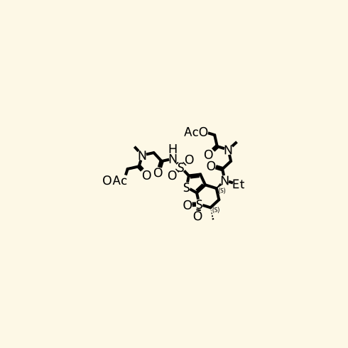 CCN(C(=O)CN(C)C(=O)COC(C)=O)[C@H]1C[C@H](C)S(=O)(=O)c2sc(S(=O)(=O)NC(=O)CN(C)C(=O)COC(C)=O)cc21